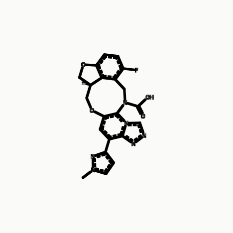 Cn1ccc(-c2cc3c(n4cnnc24)N(C(=O)O)Cc2c(F)ccc4c2[C@@H](CO4)CO3)n1